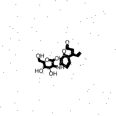 C=Cc1cc(=O)oc2cc(NC3C(O)OC(CO)[C@H](O)[C@H]3O)ccc12